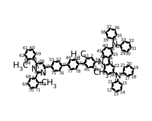 Cc1cc(-n2c3ccc(N(c4ccccc4)c4ccccc4)cc3c3cc(N(c4ccccc4)c4ccccc4)ccc32)c(C)cc1-c1ccc(-c2ccc(-c3cc(-c4ccccc4C)nc(-c4ccccc4C)n3)cc2)cc1